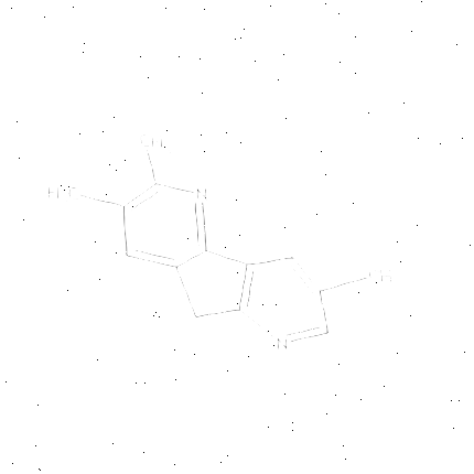 Cc1cnc2c(c1)-c1nc(C)c(C)cc1C2